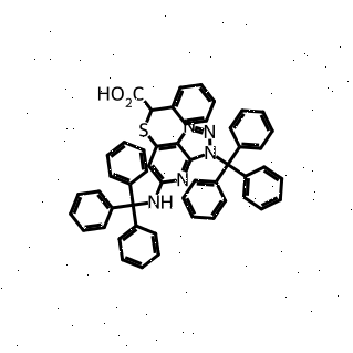 O=C(O)C(Sc1cc(NC(c2ccccc2)(c2ccccc2)c2ccccc2)nc2c1nnn2C(c1ccccc1)(c1ccccc1)c1ccccc1)c1ccccc1